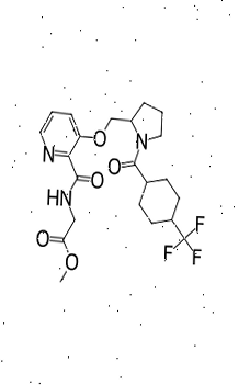 COC(=O)CNC(=O)c1ncccc1OCC1CCCN1C(=O)C1CCC(C(F)(F)F)CC1